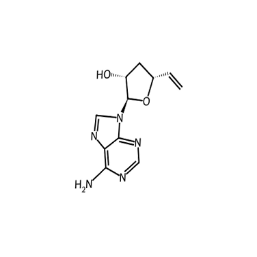 C=C[C@H]1C[C@@H](O)[C@H](n2cnc3c(N)ncnc32)O1